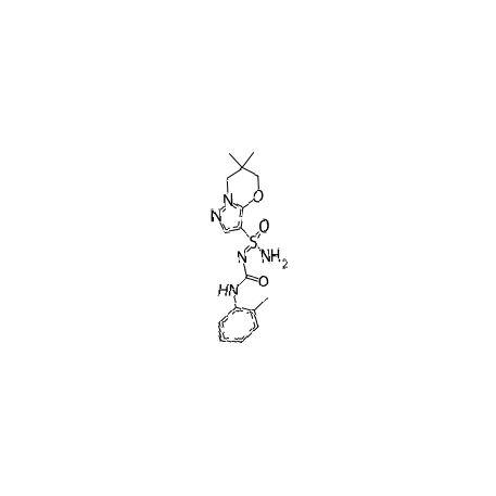 Cc1ccccc1NC(=O)N=S(N)(=O)c1cnn2c1OCC(C)(C)C2